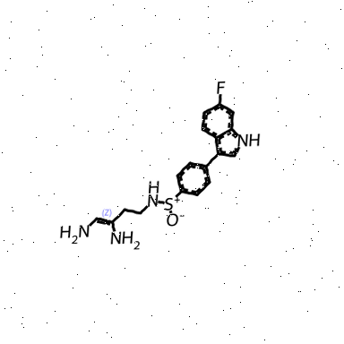 N/C=C(\N)CCN[S+]([O-])c1ccc(-c2c[nH]c3cc(F)ccc23)cc1